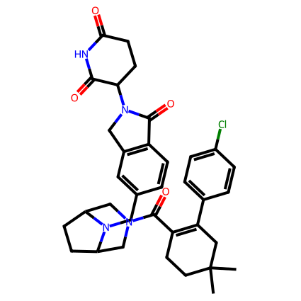 CC1(C)CCC(C(=O)N2CC3CCC(C2)N3Cc2ccc3c(c2)CN(C2CCC(=O)NC2=O)C3=O)=C(c2ccc(Cl)cc2)C1